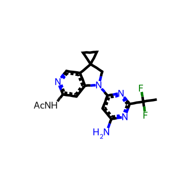 CC(=O)Nc1cc2c(cn1)C1(CC1)CN2c1cc(N)nc(C(C)(F)F)n1